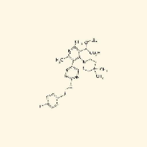 Cc1nc(C)c(C(OC(C)(C)C)C(=O)O)c(N2CCC(C)(C)CC2)c1-c1cnc(OCCc2ccc(F)cc2)nc1